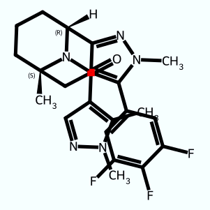 Cc1c(C(=O)N2[C@@H]3CCC[C@@]2(C)Cc2c3nn(C)c2-c2cc(F)c(F)c(F)c2)cnn1C